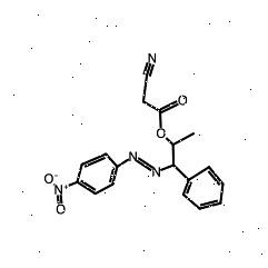 CC(OC(=O)CC#N)C(N=Nc1ccc([N+](=O)[O-])cc1)c1ccccc1